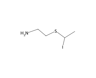 CC(I)SCCN